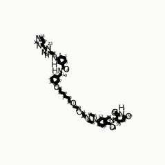 C[C@@H](NC(=O)c1cccc(NCc2nnc(-c3ccncn3)n2C)c1)c1cccc(OCCCCCCOCCOCCN2CCN(c3ccc4c(c3)CN(C3CCC(=O)NC3=O)C4=O)CC2)c1